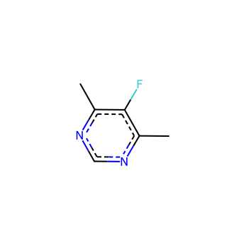 Cc1ncnc(C)c1F